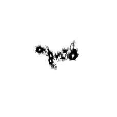 COc1ccccc1N1CCN(CC(O)COc2cc(C)c(OCc3ccccc3)c3ccccc23)CC1.Cl.Cl